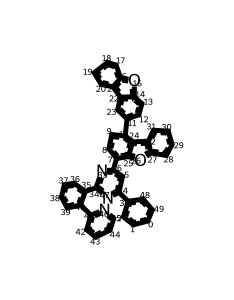 c1ccc(-c2cc(-c3ccc(-c4ccc5oc6ccccc6c5c4)c4c3oc3ccccc34)nc(-c3ccccc3-c3ccccn3)n2)cc1